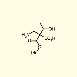 CC(O)C(CN)(C(=O)O)C(=O)OC(C)(C)C